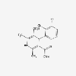 COC(=O)C1=C(C)NC(C(F)(F)F)=C(C(=O)O)C1c1cccc(Cl)c1Cl